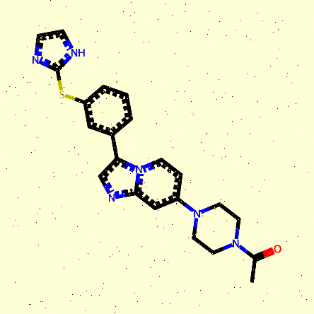 CC(=O)N1CCN(c2ccn3c(-c4cccc(Sc5ncc[nH]5)c4)cnc3c2)CC1